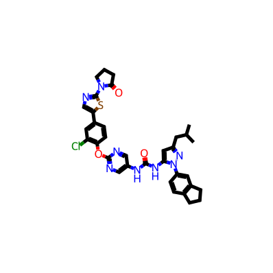 CC(C)Cc1cc(NC(=O)Nc2cnc(Oc3ccc(-c4cnc(N5CCCC5=O)s4)cc3Cl)nc2)n(-c2ccc3c(c2)CCC3)n1